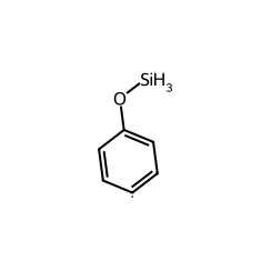 [SiH3]Oc1cc[c]cc1